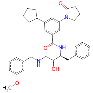 COc1cccc(CNC[C@H](O)[C@H](Cc2ccccc2)NC(=O)c2cc(C3CCCC3)cc(N3CCCC3=O)c2)c1